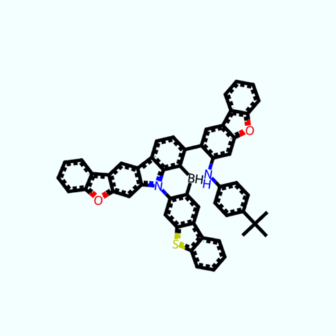 CC(C)(C)c1ccc(Nc2cc3oc4ccccc4c3cc2-c2ccc3c4cc5c(cc4n4c3c2Bc2cc3c(cc2-4)sc2ccccc23)oc2ccccc25)cc1